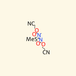 CS/C(=N\C(=O)OCCC#N)N(C)C(=O)OCCC#N